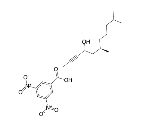 CC#C[C@H](O)C[C@H](C)CCCC(C)C.O=C(O)c1cc([N+](=O)[O-])cc([N+](=O)[O-])c1